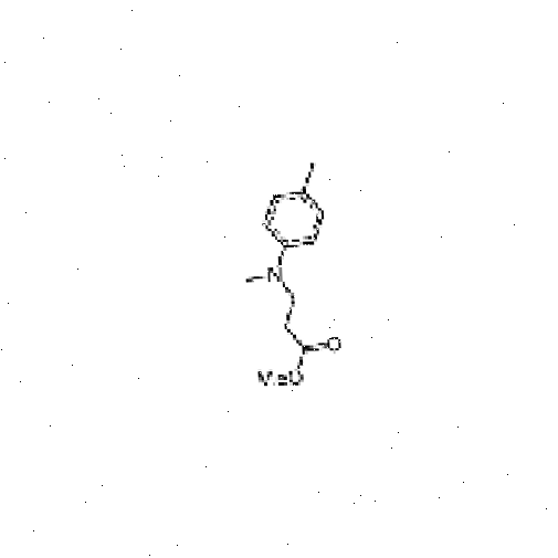 COC(=O)CCN(C)c1ccc(C)cc1